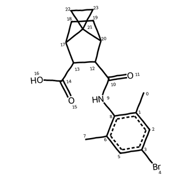 Cc1cc(Br)cc(C)c1NC(=O)C1C(C(=O)O)C2CCC1C21CC1